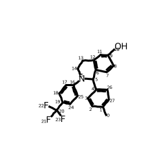 Cc1ccc(C2c3ccc(O)cc3CCN2c2ccc(C(F)(F)F)cc2)cc1